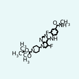 CNC(=O)c1ccc(Nc2ncnc3c2c(F)cn3C2CCN(C(=O)OC(C)(C)C)CC2)c(F)c1